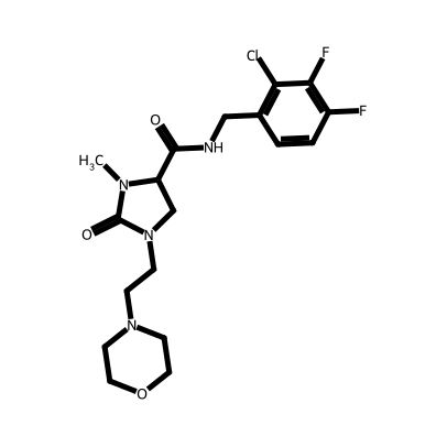 CN1C(=O)N(CCN2CCOCC2)CC1C(=O)NCc1ccc(F)c(F)c1Cl